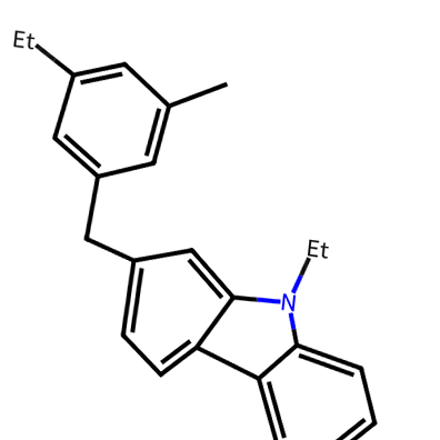 CCc1cc(C)cc(Cc2ccc3c4ccccc4n(CC)c3c2)c1